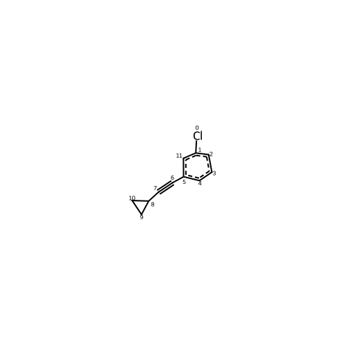 Clc1cccc(C#CC2CC2)c1